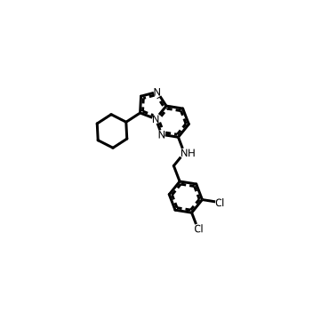 Clc1ccc(CNc2ccc3ncc(C4CCCCC4)n3n2)cc1Cl